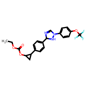 CCOC(=O)OC1CC1c1ccc(C2N=CN(c3ccc(OC(F)(F)F)cc3)N2)cc1